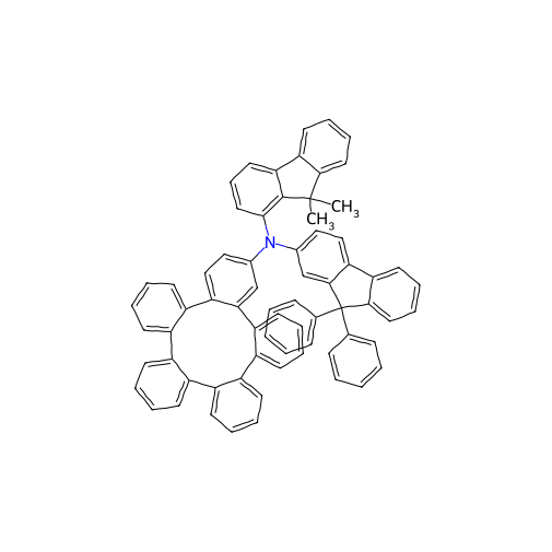 CC1(C)c2ccccc2-c2cccc(N(c3ccc4c(c3)C(c3ccccc3)(c3ccccc3)c3ccccc3-4)c3ccc4c5ccccc5c5ccccc5c5ccccc5c5ccccc5c4c3)c21